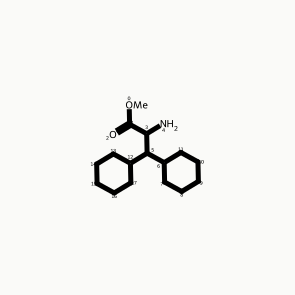 COC(=O)C(N)C(C1CCCCC1)C1CCCCC1